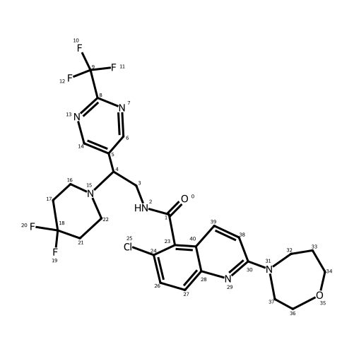 O=C(NCC(c1cnc(C(F)(F)F)nc1)N1CCC(F)(F)CC1)c1c(Cl)ccc2nc(N3CCCOCC3)ccc12